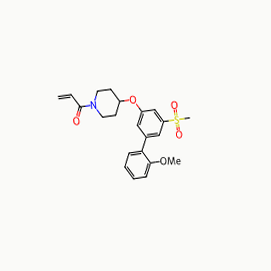 C=CC(=O)N1CCC(Oc2cc(-c3ccccc3OC)cc(S(C)(=O)=O)c2)CC1